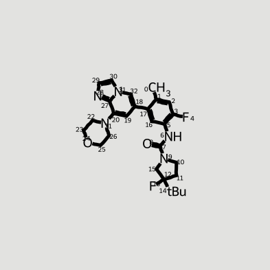 Cc1cc(F)c(NC(=O)N2CCC(F)(C(C)(C)C)C2)cc1-c1cc(N2CCOCC2)c2nccn2c1